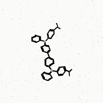 CC(C)c1ccc(N(c2ccccc2)c2ccc(-c3ccc(N(c4ccccc4)c4ccc(C(C)C)cc4)cc3)cc2)cc1